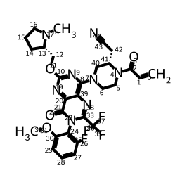 C=CC(=O)N1CCN(c2nc(OC[C@@H]3CCCN3C)nc3c(=O)n(-c4c(F)cccc4OC)c(C(F)(F)F)nc23)C[C@@H]1CC#N